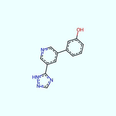 Oc1cccc(-c2cncc(-c3ncn[nH]3)c2)c1